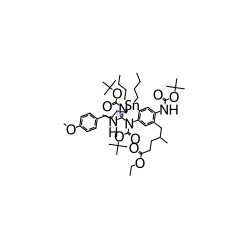 CCC[CH2][Sn]([CH2]CCC)([CH2]CCC)[c]1cc(NC(=O)OC(C)(C)C)c(CC(C)CCC(=O)OCC)cc1N(C(=O)OC(C)(C)C)/C(=N/C(=O)OC(C)(C)C)NCc1ccc(OC)cc1